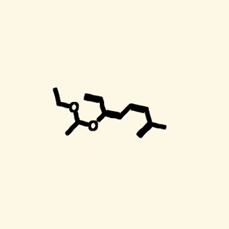 C=C/C(=C\C=C/C(=C)C)OC(C)OCC